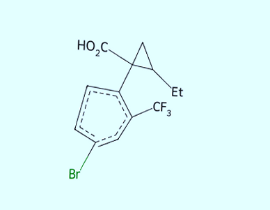 CCC1CC1(C(=O)O)c1ccc(Br)cc1C(F)(F)F